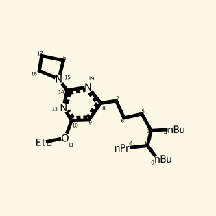 CCCCC(CCC)C(CCCC)CCCc1cc(OCC)nc(N2CCC2)n1